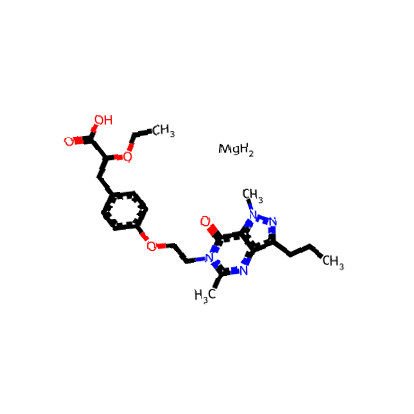 CCCc1nn(C)c2c(=O)n(CCOc3ccc(CC(OCC)C(=O)O)cc3)c(C)nc12.[MgH2]